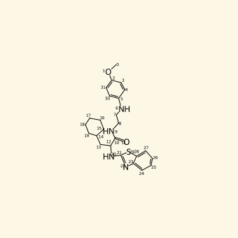 COc1ccc(NCCNC(=O)C(CC2CCCCC2)Nc2nc3ccccc3s2)cc1